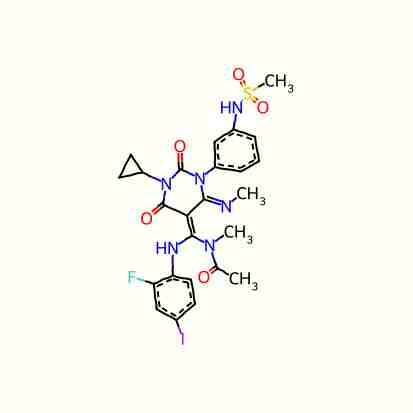 C/N=C1/C(=C(/Nc2ccc(I)cc2F)N(C)C(C)=O)C(=O)N(C2CC2)C(=O)N1c1cccc(NS(C)(=O)=O)c1